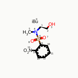 CC[C@H](C)[C@@H](CO)N(C)S(=O)(=O)c1ccccc1[N+](=O)[O-]